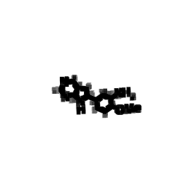 COc1ccc(-c2cc3cncnc3[nH]2)cc1N